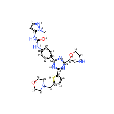 Cn1nccc1NC(=O)Nc1ccc(-c2nc(-c3ccc(CN4CCOCC4)s3)nc(C3CNCCO3)n2)cc1